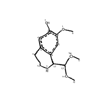 COc1cc2c(cc1O)CCNC2C(OC)OC